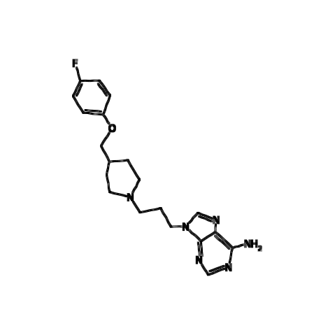 Nc1ncnc2c1ncn2CCCN1CCC(COc2ccc(F)cc2)CC1